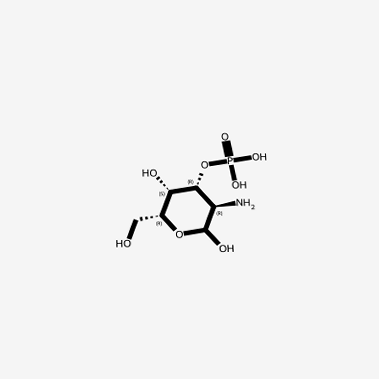 N[C@H]1C(O)O[C@H](CO)[C@H](O)[C@@H]1OP(=O)(O)O